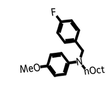 CCCCCCCCN(Cc1ccc(F)cc1)c1ccc(OC)cc1